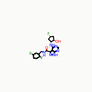 O=C(NCc1cc(F)ccc1F)c1n[nH]c2ncnc(N[C@@H]3C[C@H](F)C[C@H]3O)c12